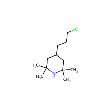 CC1(C)CC(CCCCl)CC(C)(C)N1